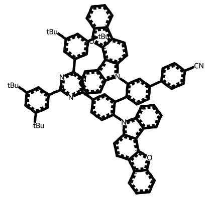 CC(C)(C)c1cc(-c2nc(-c3cc(C(C)(C)C)cc(C(C)(C)C)c3)nc(-c3ccc(-n4c5ccccc5c5c6oc7ccccc7c6ccc54)c(-c4ccc(-c5ccc(C#N)cc5)cc4-n4c5ccccc5c5c6oc7ccccc7c6ccc54)c3)n2)cc(C(C)(C)C)c1